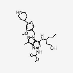 CCC[C@@H](CCO)Nc1nc(NC(=O)OC)nc2c(C)nn(Cc3cnc(C4CCNCC4)cc3OC)c12